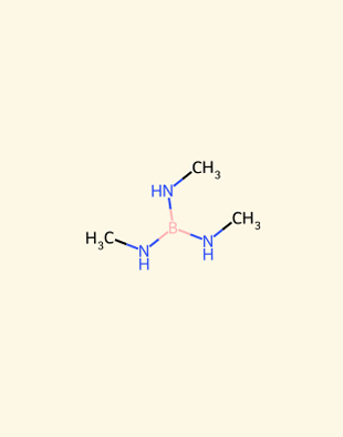 CNB(NC)NC